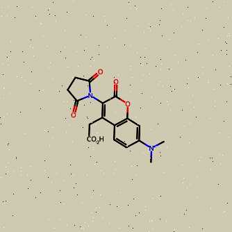 CN(C)c1ccc2c(CC(=O)O)c(N3C(=O)CCC3=O)c(=O)oc2c1